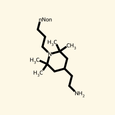 CCCCCCCCCCCCN1C(C)(C)CC(CCN)CC1(C)C